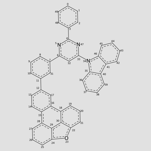 c1ccc(-c2nc(-c3cccc(-c4ccc5c(c4)c4cccc6oc7cccc5c7c64)c3)cc(-n3c4ccccc4c4ccccc43)n2)cc1